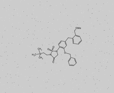 COCc1ccccc1Cc1ccc(N2CC(=O)N(CC[Si](C)(C)C)S2(=O)=O)c(OCc2ccccc2)c1